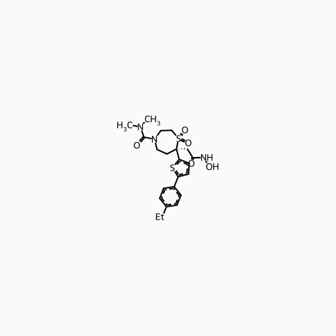 CCc1ccc(-c2ccc([C@@]3(CC(=O)NO)CCN(C(=O)N(C)C)CCS3(=O)=O)s2)cc1